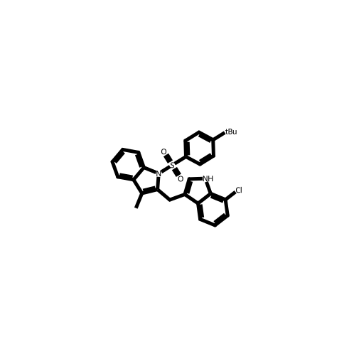 Cc1c(Cc2c[nH]c3c(Cl)cccc23)n(S(=O)(=O)c2ccc(C(C)(C)C)cc2)c2ccccc12